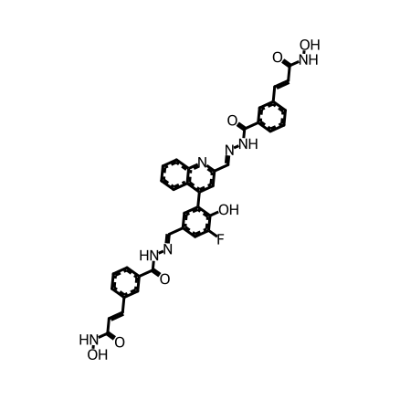 O=C(/C=C/c1cccc(C(=O)N/N=C/c2cc(F)c(O)c(-c3cc(/C=N/NC(=O)c4cccc(/C=C/C(=O)NO)c4)nc4ccccc34)c2)c1)NO